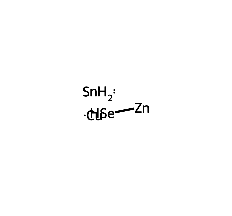 [Cu].[SnH2].[Zn][SeH]